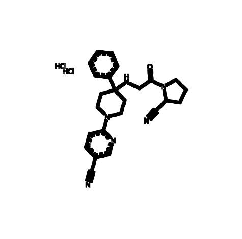 Cl.Cl.N#Cc1ccc(N2CCC(NCC(=O)N3CCCC3C#N)(c3ccccc3)CC2)nc1